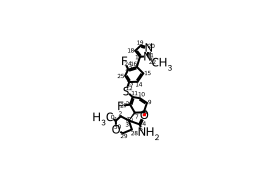 CC1C[C@@](C(N)=O)(C2CC=CC(Sc3ccc(-c4ccnn4C)c(F)c3)=C2F)CCO1